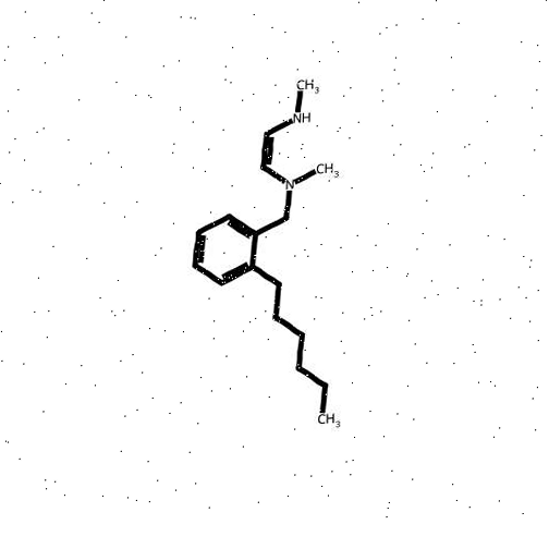 CCCCCCc1ccccc1CN(C)/C=C\NC